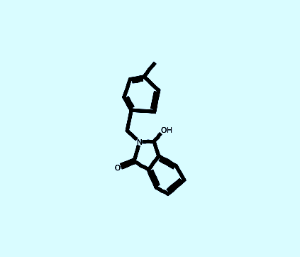 Cc1ccc(CN2C(=O)c3ccccc3C2O)cc1